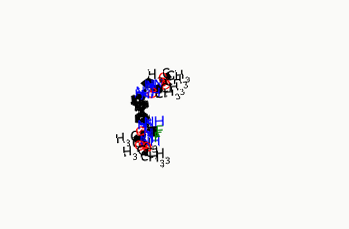 CC(C)[C@H](NC(=O)OC(C)(C)C)C(=O)N1CC(F)(F)C[C@H]1c1nc2ccc(-c3ccc4c(ccc5nc([C@@H]6CCCN6C(=O)[C@@H](NC(=O)OC(C)(C)C)C(C)C)[nH]c54)c3)cc2[nH]1